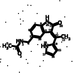 CC(=O)NCc1ccc2c(c1)/C(=C(/C)c1ccc[nH]1)C(=O)N2